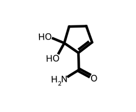 NC(=O)C1=CCCC1(O)O